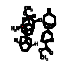 COC(=O)c1ccc(N2C3CCC2CNC3)cn1.COC(=O)c1ccc(N2[C@@H]3CC[C@H]2CN(c2cc(Cl)nnc2N)C3)cn1